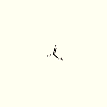 C[C]=O.[Hf]